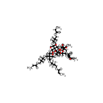 C=CC(=O)OCC(F)(F)C(F)(F)OC(F)(F)C(C(F)(F)OC(F)(F)C(F)(F)COC(=O)C=C)(C(F)(F)OC(F)(F)C(F)(F)COC(=O)C=C)C(F)(F)OC(F)(F)C(C(F)(F)OC(F)(F)C(F)(F)COC(=O)C=C)(C(F)(F)OC(F)(F)C(F)(F)COC(=O)C=C)C(F)(F)OC(F)(F)C(F)(F)COC(=O)C=C